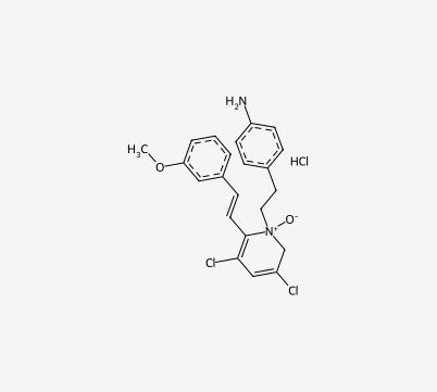 COc1cccc(C=CC2=C(Cl)C=C(Cl)C[N+]2([O-])CCc2ccc(N)cc2)c1.Cl